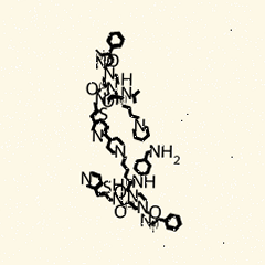 CC(C)N[C@H](CCCCN1CCCCC1)C(=O)N1CCN(C2=N[C@@H](C)C(c3ccccc3)O2)C[C@H]1C(=O)NCc1cc2cnc(C3CCN(CCCC[C@@H](NC4CCC(CN)CC4)C(=O)N4CCN(C5=N[C@@H](C)C(c6ccccc6)O5)C[C@H]4C(=O)NCc4cc5cnccc5s4)CC3)cc2s1